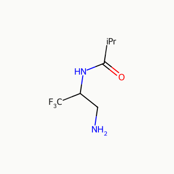 CC(C)C(=O)NC(CN)C(F)(F)F